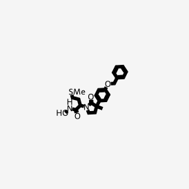 CSCCC(C(=O)NO)N1CCC(C)(c2ccc(OCc3ccccc3)cc2)C1=O